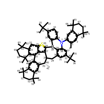 Cc1cc2c(cc1N1c3ccc(C(C)(C)C)cc3B3c4sc5cc6c(c7c5c4C(Cc4cc(C(C)(C)C)cc1c43)[C@H](C)c1cc3c(cc1-7)C(C)(C)CCC3(C)C)C(C)(C)CCC6(C)C)C(C)(C)CCC2(C)C